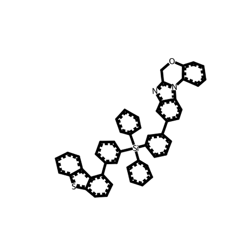 c1ccc([Si](c2ccccc2)(c2cccc(-c3ccc4c(c3)nc3n4-c4ccccc4OC3)c2)c2cccc(-c3cccc4sc5ccccc5c34)c2)cc1